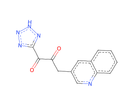 O=C(Cc1cnc2ccccc2c1)C(=O)c1nn[nH]n1